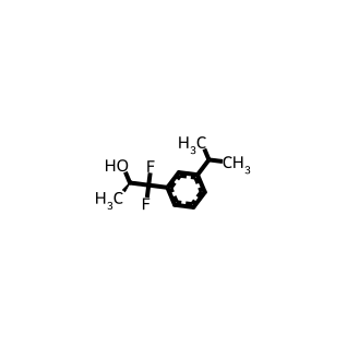 CC(C)c1cccc(C(F)(F)[C@@H](C)O)c1